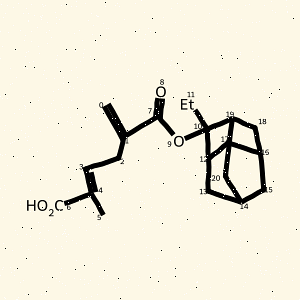 C=C(CC=C(C)C(=O)O)C(=O)OC1(CC)C2CC3CC(C2)CC1C3